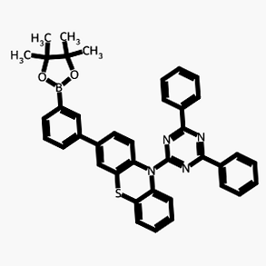 CC1(C)OB(c2cccc(-c3ccc4c(c3)Sc3ccccc3N4c3nc(-c4ccccc4)nc(-c4ccccc4)n3)c2)OC1(C)C